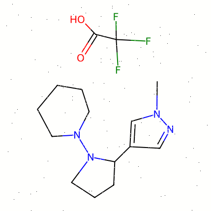 Cn1cc(C2CCCN2N2CCCCC2)cn1.O=C(O)C(F)(F)F